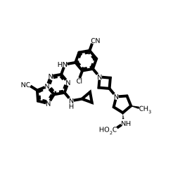 C[C@@H]1CN(C2CN(c3cc(C#N)cc(Nc4nc(NC5CC5)c5ncc(C#N)n5n4)c3Cl)C2)C[C@H]1NC(=O)O